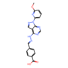 COc1cccc(-n2ncc3c(N/N=C/c4ccc(C(=O)O)cc4)ncnc32)n1